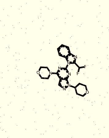 FC(F)c1nc2ccccc2n1-c1nc(N2CCOCC2)c2cnn(C3CCOCC3)c2n1